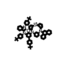 CC(C)(C)c1ccc(-c2cc(N3c4cccc(c4)N(c4cc5ccccc5c5ccccc45)c4cccc(c4)[Si](C)(C)c4cccc3c4)c(Cl)c(N(c3ccc(C(C)(C)C)cc3)c3cn(-c4ccc(C(C)(C)C)cc4)c4ccccc34)c2)cc1